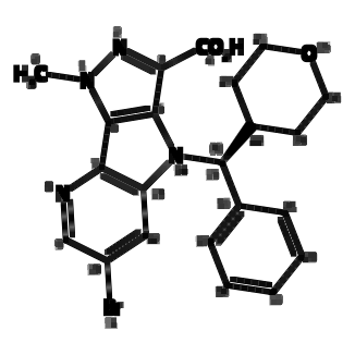 Cn1nc(C(=O)O)c2c1c1ncc(Br)cc1n2[C@H](c1ccccc1)C1CCOCC1